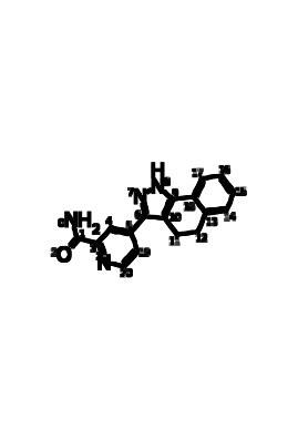 NC(=O)c1cc(-c2n[nH]c3c2CCc2ccccc2-3)ccn1